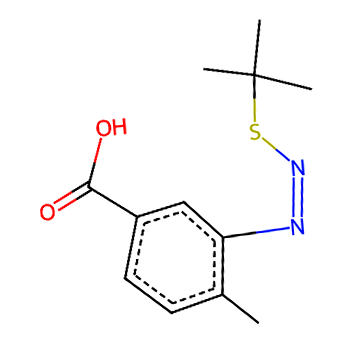 Cc1ccc(C(=O)O)cc1/N=N\SC(C)(C)C